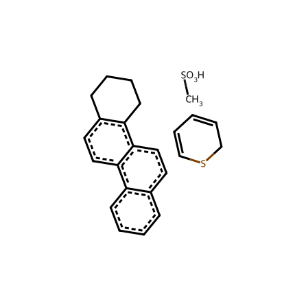 C1=CCSC=C1.CS(=O)(=O)O.c1ccc2c(c1)ccc1c3c(ccc12)CCCC3